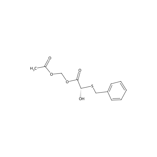 CC(=O)OCOC(=O)[C@@H](O)SCc1ccccc1